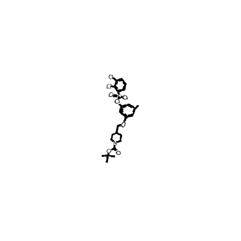 Cc1cc(OCC2CCN(C(=O)OC(C)(C)C)CC2)cc(OS(=O)(=O)c2cccc(Cl)c2Cl)c1